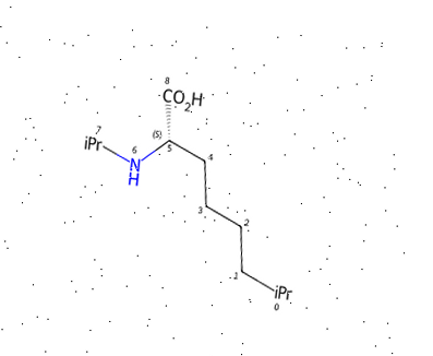 CC(C)CCCC[C@H](NC(C)C)C(=O)O